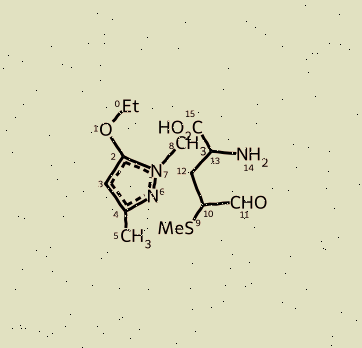 CCOc1cc(C)nn1C.CSC(C=O)CC(N)C(=O)O